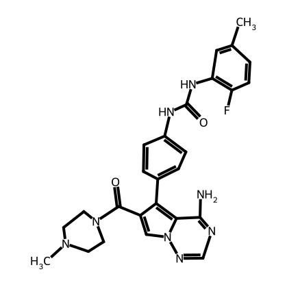 Cc1ccc(F)c(NC(=O)Nc2ccc(-c3c(C(=O)N4CCN(C)CC4)cn4ncnc(N)c34)cc2)c1